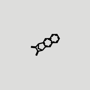 C=C1C(=C)C2CC1c1cc3ccccc3cc12